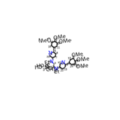 CCN(CCN(CC)c1ccc(-c2cc(OC)c(OC)c(OC)c2)nc1)c1ccc(-c2cc(OC)c(OC)c(OC)c2)nc1.CS(=O)(=O)O.CS(=O)(=O)O